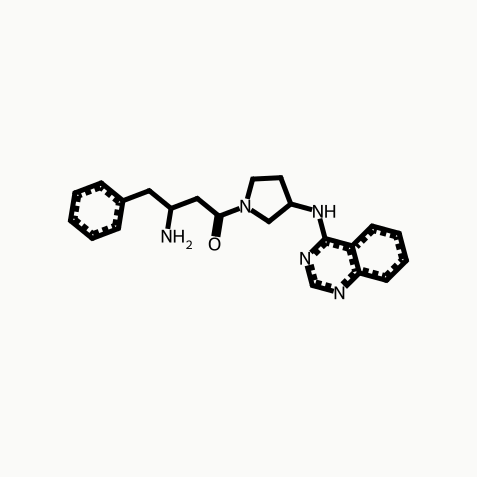 NC(CC(=O)N1CCC(Nc2ncnc3ccccc23)C1)Cc1ccccc1